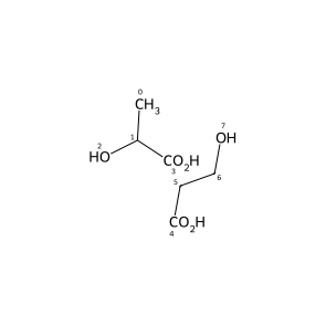 CC(O)C(=O)O.O=C(O)CCO